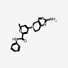 Cc1cc(N2CCc3nc(N)ncc3C2)cc(C(=O)Nc2ccccc2)n1